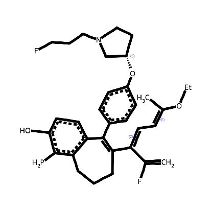 C=C(F)/C(=C\C=C(/C)OCC)C1=C(c2ccc(O[C@H]3CCN(CCCF)C3)cc2)c2ccc(O)c(P)c2CCC1